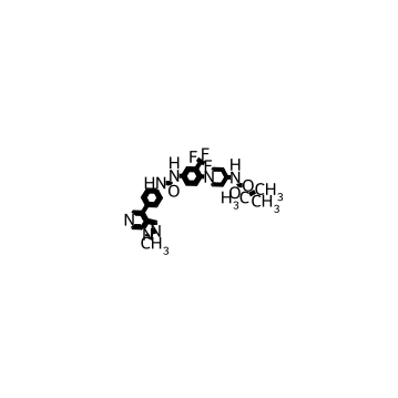 Cn1ncc2c(-c3ccc(NC(=O)Nc4ccc(N5CCC(NC(=O)OC(C)(C)C)CC5)c(C(F)(F)F)c4)cc3)cncc21